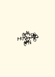 [C-]#[N+]/C(C#N)=c1/cc(OCCCC(=O)c2ccccc2S(=O)(=O)O)/c(=C(\C#N)[N+]#[C-])cc1CO